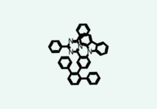 c1ccc(-c2nc(-c3ccccc3)nc(-c3cc(-c4c(-c5ccccc5)cccc4-c4ccccc4)ccc3-n3c4ccccc4c4ccccc43)n2)cc1